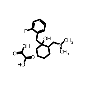 CN(C)CC1CCCCC1(O)Cc1ccccc1F.O=C(O)C(=O)O